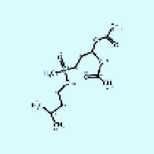 CC(=O)OC(CCP(C)(=O)OCCC(C)C)OC(C)=O